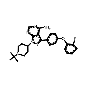 CC(C)(C)N1CCC(n2nc(-c3ccc(Oc4ccccc4F)cc3)c3c(N)ncnc32)CC1